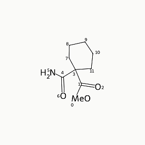 COC(=O)C1(C(N)=O)CCCCC1